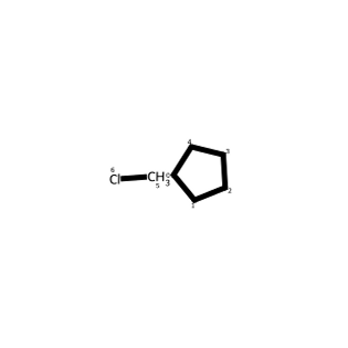 C1CCCC1.CCl